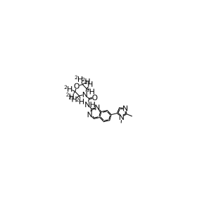 [2H]C1([2H])OC([2H])([2H])C([2H])([2H])N(C(=O)Nc2ncc3ccc(-c4cnc(C)n4C)cc3n2)C1([2H])[2H]